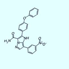 NC(=O)c1c(-c2ccc(Oc3ccccc3)cc2)[nH]c2c(-c3cccc([N+](=O)[O-])c3)cnn12